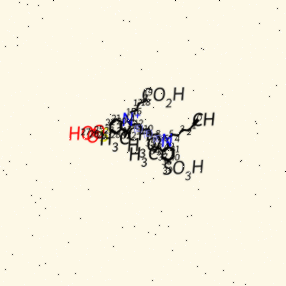 C#CCCCCN1/C(=C/C=C/C=C/C2=[N+](CCCCC(=O)O)c3ccc(SOOO)cc3C2(C)C)C(C)(C)c2cc(S(=O)(=O)O)ccc21